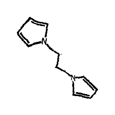 [CH](Cn1cccc1)n1cccc1